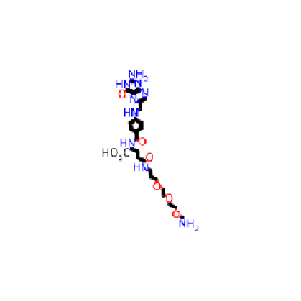 NCOCCOCCOCCCNC(=O)CC[C@H](NC(=O)c1ccc(NCc2cnc3nc(N)[nH]c(=O)c3n2)cc1)C(=O)O